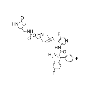 N[C@H](C(=O)Nc1cncc(F)c1CC[C@@H]1CN[C@H](COC(=O)NCC2CNC(=O)O2)CO1)C(c1ccc(F)cc1)c1ccc(F)cc1